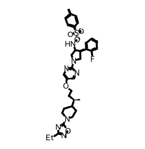 CCc1noc(N2CCC([C@H](C)CCOc3cnc(N4CC(NOS(=O)(=O)c5ccc(C)cc5)C(c5ccccc5F)C4)nc3)CC2)n1